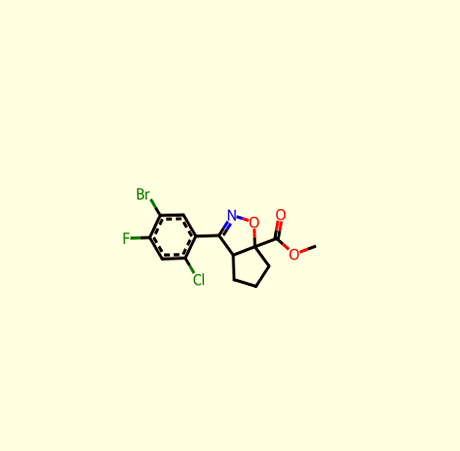 COC(=O)C12CCCC1C(c1cc(Br)c(F)cc1Cl)=NO2